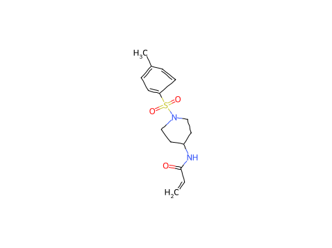 C=CC(=O)NC1CCN(S(=O)(=O)c2ccc(C)cc2)CC1